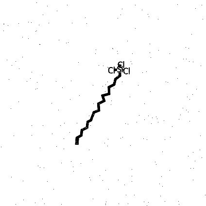 C=CCCCCCCCCCCCCCCC[Si](Cl)(Cl)Cl